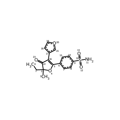 CCC1(C)OC(c2ccc(S(N)(=O)=O)cc2)=C(c2ccoc2)C1=O